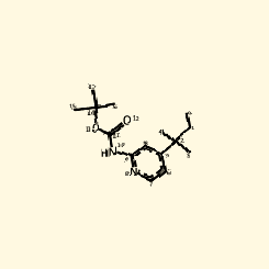 CCC(C)(C)c1ccnc(NC(=O)OC(C)(C)C)c1